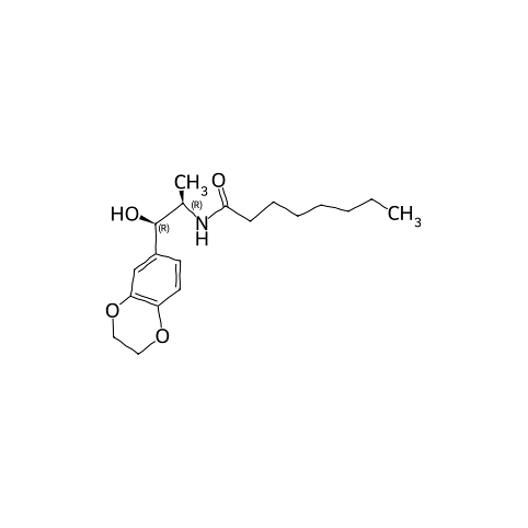 CCCCCCCC(=O)N[C@H](C)[C@H](O)c1ccc2c(c1)OCCO2